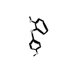 COc1ccc(Oc2ccccc2OC)cc1